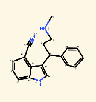 CNCCC(c1ccccc1)c1c[nH]c2cccc(C#N)c12